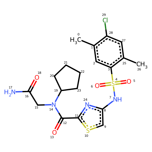 Cc1cc(S(=O)(=O)Nc2csc(C(=O)N(CC(N)=O)C3CCCC3)n2)c(C)cc1Cl